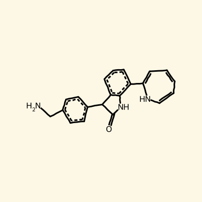 NCc1ccc(C2C(=O)Nc3c(C4=CC=CC=CN4)cccc32)cc1